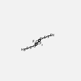 FC(F)(F)C(c1ccc(OCCCSCCSCCS)cc1)(c1ccc(OCCCSCCSCCS)cc1)C(F)(F)F